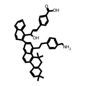 CC1(C)C=CC2=C(C1)CC(C)(C)c1c2ccc2cc(-c3ccc4ccccc4c3C(O)C=Cc3ccc(C(=O)O)cc3)cc(CCc3ccc(CN)cc3)c12